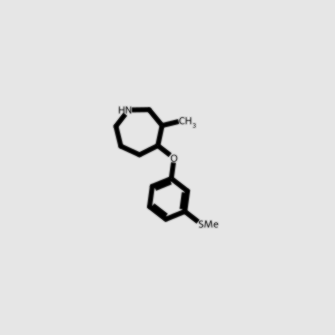 CSc1cccc(OC2CCCNCC2C)c1